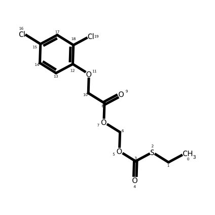 CCSC(=O)OCOC(=O)COc1ccc(Cl)cc1Cl